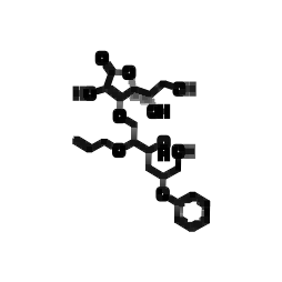 C=CCOC(COC1=C(O)C(=O)O[C@@H]1[C@@H](O)CO)C(O)CC(CO)Oc1ccccc1